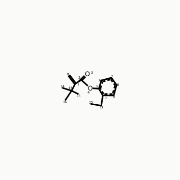 C=C(C(=O)Oc1ccccc1CC)C(C)(C)C